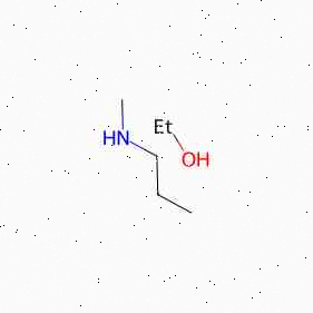 CCCNC.CCO